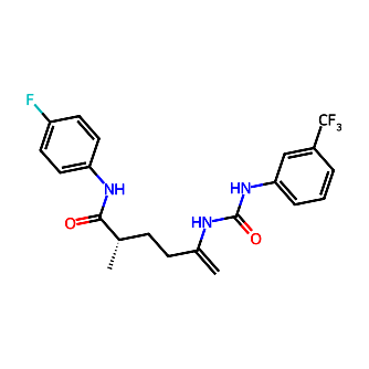 C=C(CC[C@H](C)C(=O)Nc1ccc(F)cc1)NC(=O)Nc1cccc(C(F)(F)F)c1